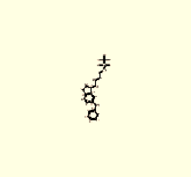 CC(C)(C)[Si](C)(C)OCCCCC1CCc2ccc(Cc3ccccc3)cc21